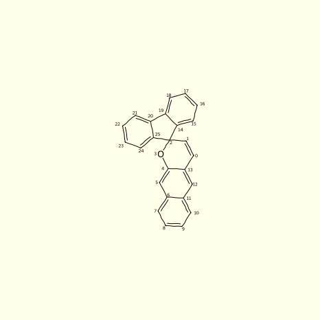 C1=CC2(Oc3cc4ccccc4cc31)c1ccccc1-c1ccccc12